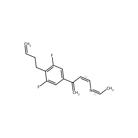 C=CCCc1c(F)cc(C(=C)/C=C\N=C/C)cc1F